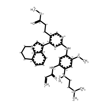 C=CC(=O)Nc1cc(Nc2ncc(CCC(=O)OC)c(-c3cn4c5c(cccc35)CCC4)n2)c(OC)cc1N(C)CCN(C)C